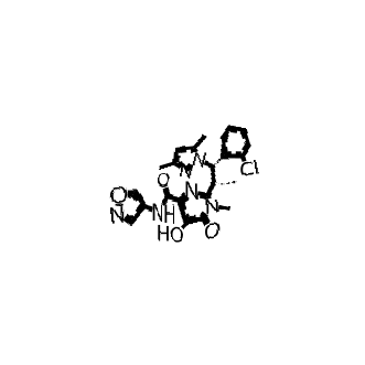 Cc1cc(C)n([C@H](c2ccccc2Cl)[C@H](C)c2nc(C(=O)Nc3cnoc3)c(O)c(=O)n2C)n1